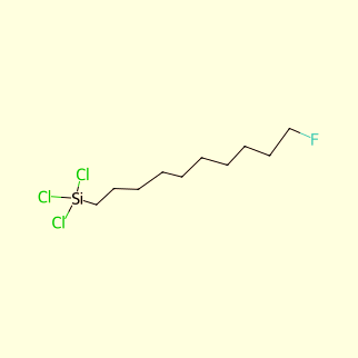 FCCCCCCCCCC[Si](Cl)(Cl)Cl